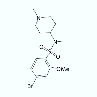 COc1cc(Br)ccc1S(=O)(=O)N(C)C1CCN(C)CC1